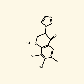 Cl.O=C1c2cc(Br)c(O)c(Br)c2OCC1n1ccnc1